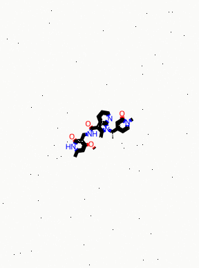 COc1cc(C)[nH]c(=O)c1CNC(=O)c1c(C)n([C@@H](C)c2ccn(C)c(=O)c2)c2ncccc12